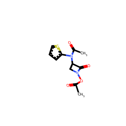 CC(=O)ON1CC(N(C(C)=O)c2cccs2)C1=O